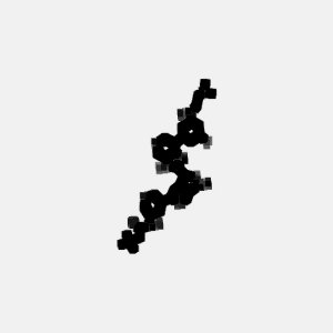 CN(C)CCNc1cc(F)cc(-c2cncc3[nH]c(-c4n[nH]c5cnc(-c6cncc(NC(=O)CC(C)(C)C)c6)cc45)nc23)c1